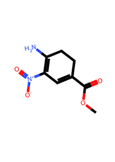 COC(=O)C1=CC([N+](=O)[O-])=C(N)CC1